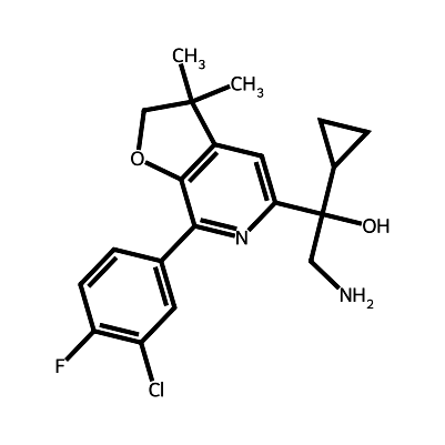 CC1(C)COc2c1cc(C(O)(CN)C1CC1)nc2-c1ccc(F)c(Cl)c1